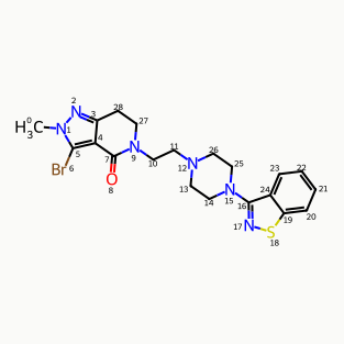 Cn1nc2c(c1Br)C(=O)N(CCN1CCN(c3nsc4ccccc34)CC1)CC2